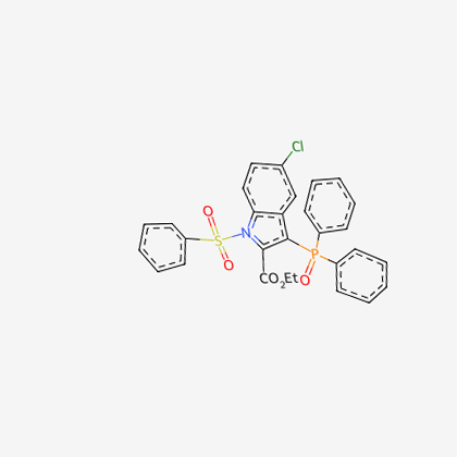 CCOC(=O)c1c(P(=O)(c2ccccc2)c2ccccc2)c2cc(Cl)ccc2n1S(=O)(=O)c1ccccc1